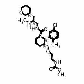 CN[C@H](CNC(=O)N1CCC[C@@H](COCCNC(=O)OC)[C@H]1c1cc(Cl)ccc1C)C[C@H]1CCCOC1